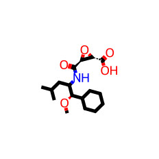 CO[C@H](C1CCCCC1)C(CC(C)C)NC(=O)[C@H]1O[C@@H]1C(=O)O